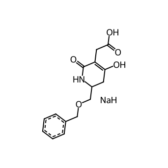 O=C(O)CC1=C(O)CC(COCc2ccccc2)NC1=O.[NaH]